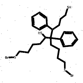 S[CH]CCC(c1ccccc1)C(CCCCSBr)([C](S)CCCCSBr)c1ccccc1